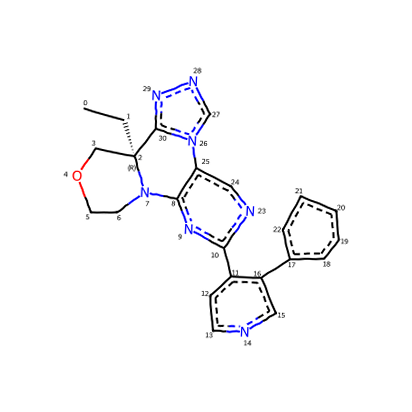 CC[C@@]12COCCN1c1nc(-c3ccncc3-c3ccccc3)ncc1-n1cnnc12